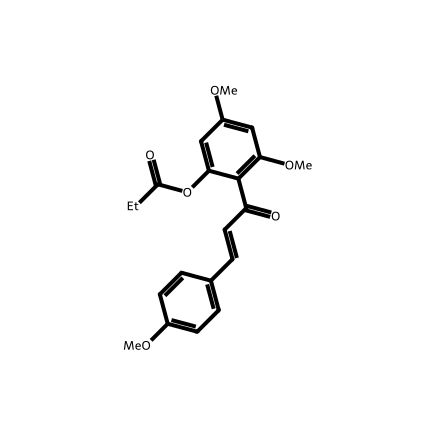 CCC(=O)Oc1cc(OC)cc(OC)c1C(=O)C=Cc1ccc(OC)cc1